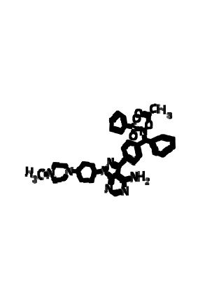 CC(=O)ON(C(c1ccccc1)c1ccc(-c2nn(C3CCC(N4CCN(C)CC4)CC3)c3ncnc(N)c23)cc1)S(=O)(=O)c1ccccc1